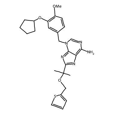 COc1ccc(Cn2cnc(N)c3nc(C(C)(C)OCc4cccs4)nc2-3)cc1OC1CCCC1